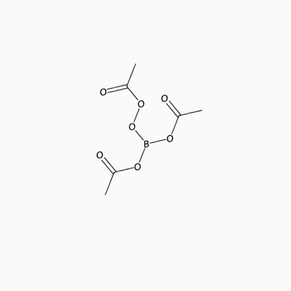 CC(=O)OOB(OC(C)=O)OC(C)=O